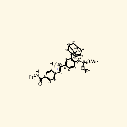 CCNC(=O)c1ccc(/C=C(\C)c2ccc(OC(OC)OCC)c(C34CC5CC(CC(C5)C3)C4)c2)cc1